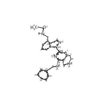 CC(=O)NCc1cccc2c1cnn2-c1nc2c(c(NCc3ccccc3)n1)CNCC2